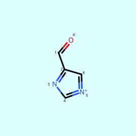 O=CC1=NC=[N+]=C1